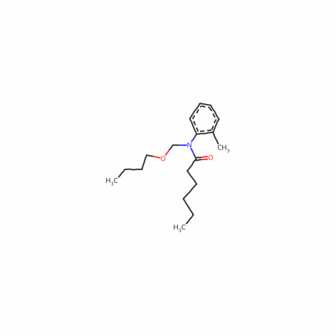 CCCCCC(=O)N(COCCCC)c1ccccc1C